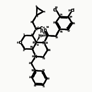 CN(CC1CC1)C1COCC2[C@@H]1N(C(=O)Cc1ccc(Cl)c(Cl)c1)CCN2Cc1ccccc1